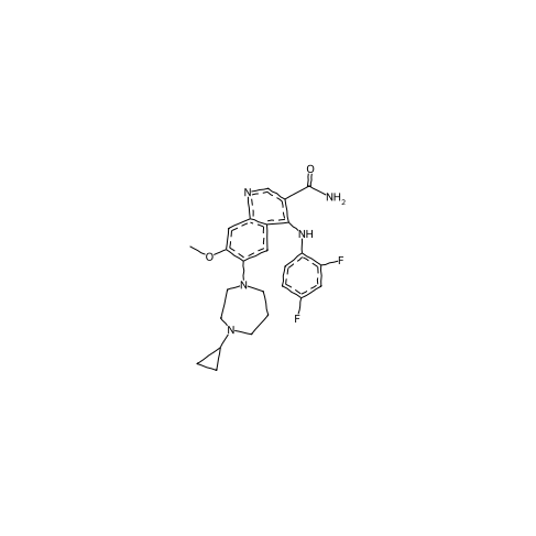 COc1cc2ncc(C(N)=O)c(Nc3ccc(F)cc3F)c2cc1N1CCCN(C2CC2)CC1